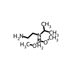 CC(C)NCCN.CO[SiH2]OC